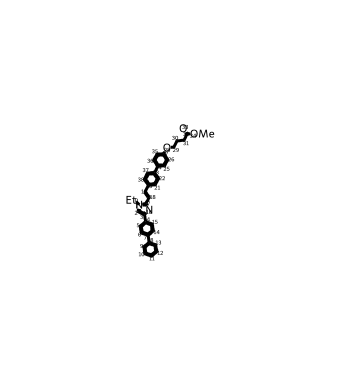 CCn1cc(-c2ccc(-c3ccccc3)cc2)nc1/C=C/c1ccc(-c2ccc(OCCCC(=O)OC)cc2)cc1